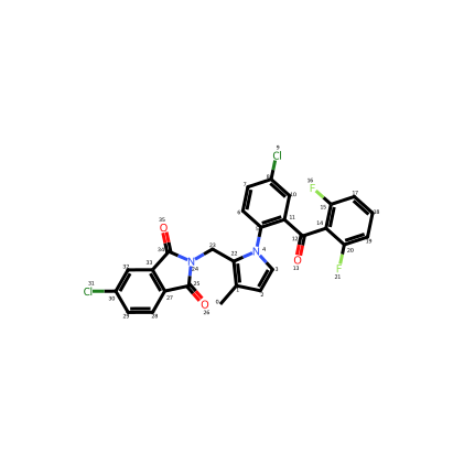 Cc1ccn(-c2ccc(Cl)cc2C(=O)c2c(F)cccc2F)c1CN1C(=O)c2ccc(Cl)cc2C1=O